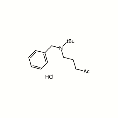 CC(=O)CCCN(Cc1ccccc1)C(C)(C)C.Cl